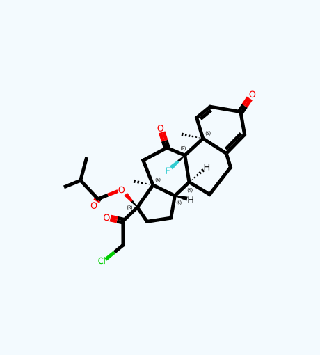 CC(C)C(=O)O[C@]1(C(=O)CCl)CC[C@H]2[C@@H]3CCC4=CC(=O)C=C[C@]4(C)[C@@]3(F)C(=O)C[C@@]21C